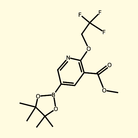 COC(=O)c1cc(B2OC(C)(C)C(C)(C)O2)cnc1OCC(F)(F)F